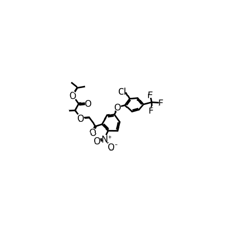 CC(C)OC(=O)C(C)OCC(=O)c1cc(Oc2ccc(C(F)(F)F)cc2Cl)ccc1[N+](=O)[O-]